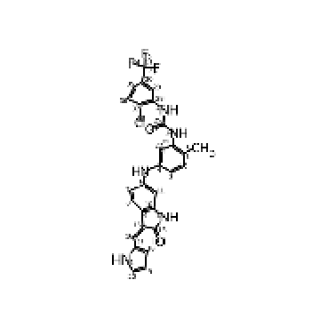 Cc1ccc(Nc2ccc3c(c2)NC(=O)C3=Cc2ccc[nH]2)cc1NC(=O)Nc1cc(C(F)(F)F)ccc1Cl